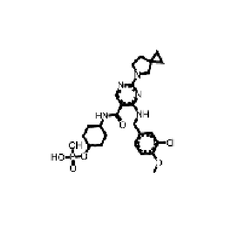 COc1ccc(CNc2nc(N3CCC4(CC4)C3)ncc2C(=O)NC2CCC(OP(=O)(O)O)CC2)cc1Cl